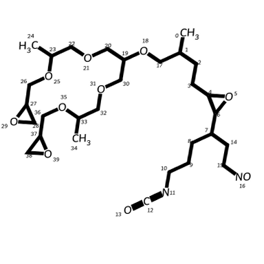 CC(CCC1OC1C(CCCN=C=O)CCN=O)COC(COCC(C)OCC1CO1)COCC(C)OCC1CO1